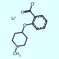 CN1CCC(Oc2ccccc2C(=O)[O-])CC1.[Li+]